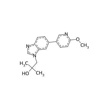 COc1ccc(-c2ccc3ncn(CC(C)(C)O)c3c2)cn1